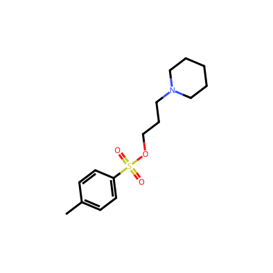 Cc1ccc(S(=O)(=O)OCCCN2CCCCC2)cc1